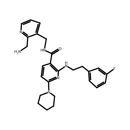 NCc1ncccc1CNC(=O)c1ccc(N2CCCCC2)nc1NCCc1cccc(F)c1